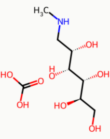 CNC[C@H](O)[C@@H](O)[C@H](O)[C@H](O)CO.O=C(O)O